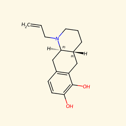 C=CCN1CCC[C@@H]2Cc3c(ccc(O)c3O)C[C@H]21